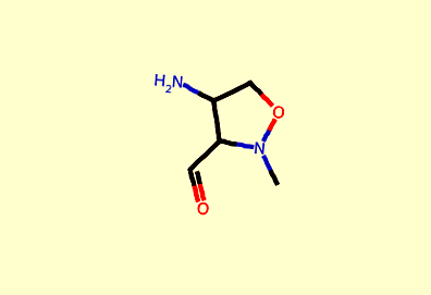 CN1OCC(N)C1C=O